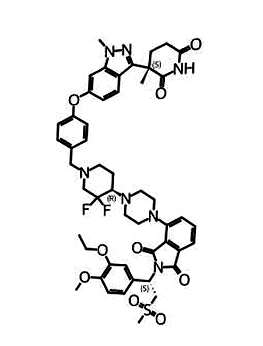 CCOc1cc([C@@H](CS(C)(=O)=O)N2C(=O)c3cccc(N4CCN([C@@H]5CCN(Cc6ccc(Oc7ccc8c([C@]9(C)CCC(=O)NC9=O)nn(C)c8c7)cc6)CC5(F)F)CC4)c3C2=O)ccc1OC